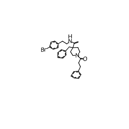 C=C(NCCc1ccc(Br)cc1)C1(Cc2ccccc2)CCN(C(=O)CCc2ccccc2)CC1